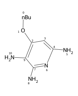 CCCCOc1cc(N)nc(N)c1N